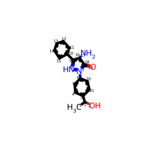 CC(O)c1ccc(-n2[nH]c(-c3ccccc3)c(N)c2=O)cc1